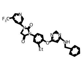 CCc1cc(N2C(=O)CN(c3cncc(C(F)(F)F)c3)C2=O)ccc1Oc1cc(NCc2ccccc2)ncn1